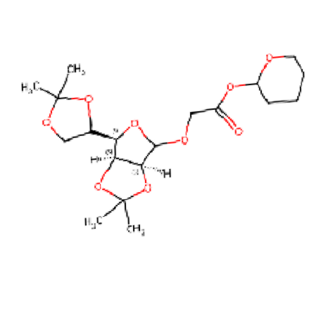 CC1(C)OCC([C@H]2OC(OCC(=O)OC3CCCCO3)[C@H]3OC(C)(C)O[C@@H]23)O1